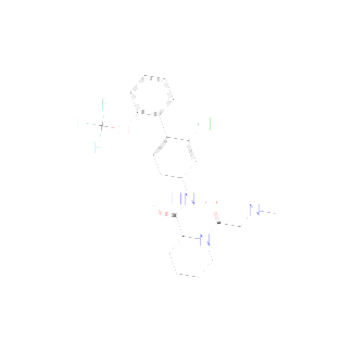 CNCC(=O)N1CCCCC1C(=O)NC1C=C(Cl)C(c2ccccc2OC(F)(F)F)=CC1